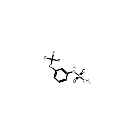 CS(=O)(=O)Nc1cccc(OC(F)(F)F)c1